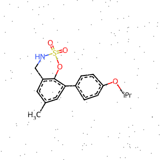 Cc1cc2c(c(-c3ccc(OC(C)C)cc3)c1)OS(=O)(=O)NC2